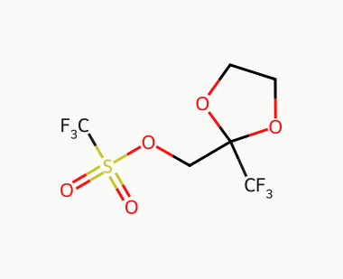 O=S(=O)(OCC1(C(F)(F)F)OCCO1)C(F)(F)F